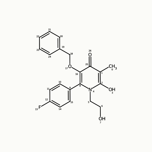 Cc1c(O)n(CCO)c(-c2ccc(F)cc2)c(OCc2ccccc2)c1=O